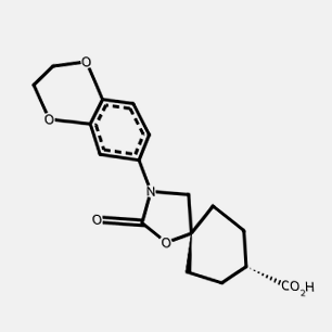 O=C1O[C@]2(CC[C@@H](C(=O)O)CC2)CN1c1ccc2c(c1)OCCO2